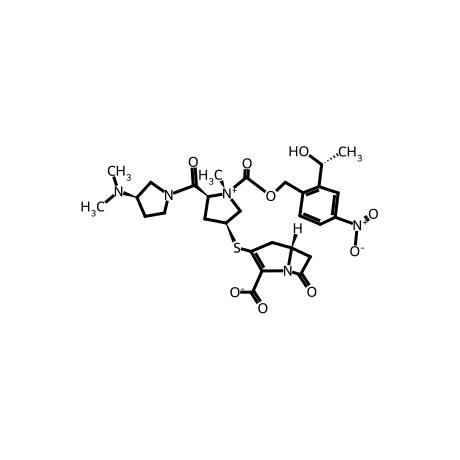 C[C@@H](O)c1cc([N+](=O)[O-])ccc1COC(=O)[N@+]1(C)C[C@@H](SC2=C(C(=O)[O-])N3C(=O)C[C@H]3C2)C[C@H]1C(=O)N1CC[C@@H](N(C)C)C1